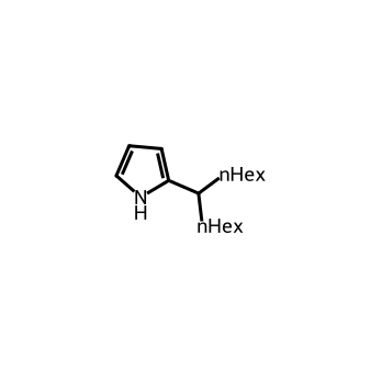 CCCCCCC(CCCCCC)c1ccc[nH]1